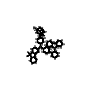 CC1(C)c2ccccc2-c2cc(N(c3ccc(-c4ccccc4-n4c5ccccc5c5ccccc54)cc3)c3ccc(C45C[C@@H]6CC7(C[C@@H](C4)C67)C5)cc3)ccc21